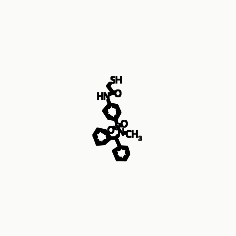 CN(C(c1ccccc1)c1ccccc1)S(=O)(=O)c1ccc(NC(=O)CS)cc1